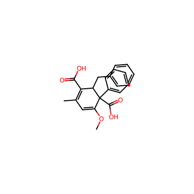 COC1=CC(C)=C(C(=O)O)C(Cc2ccccc2)C1(C(=O)O)c1ccccc1